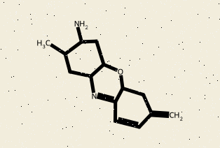 C=C1C=CC2=NC3CC(C)C(N)CC3OC2C1